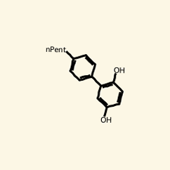 CCCCCc1ccc(-c2cc(O)ccc2O)cc1